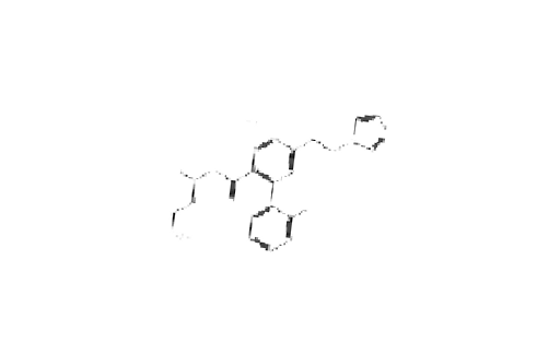 CSCCC(NC(=O)c1ccc(CCn2ccnc2)cc1-c1ccccc1C)C(=O)O.[NaH]